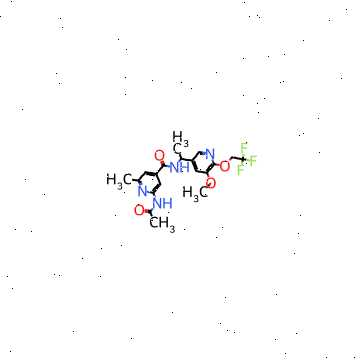 COc1cc(C(C)NC(=O)c2cc(C)nc(NC(C)=O)c2)cnc1OCC(F)(F)F